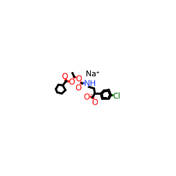 CC(OC(=O)NCCC(C(=O)[O-])c1ccc(Cl)cc1)OC(=O)C1CCCCC1.[Na+]